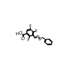 O=C(O)c1cc(F)c(F)c(/C=N/OCc2ccccc2)c1F